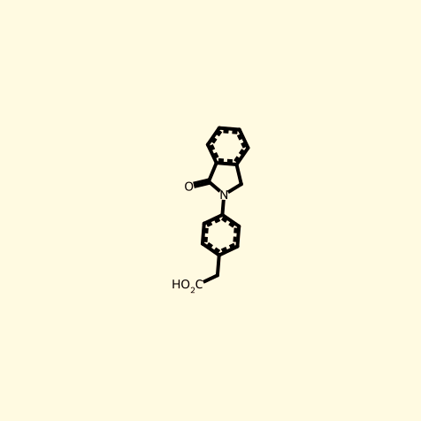 O=C(O)Cc1ccc(N2Cc3ccccc3C2=O)cc1